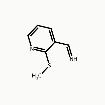 CSc1ncccc1C=N